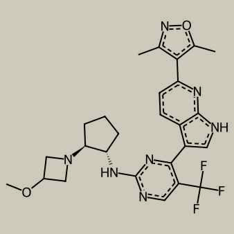 COC1CN([C@H]2CCC[C@@H]2Nc2ncc(C(F)(F)F)c(-c3c[nH]c4nc(-c5c(C)noc5C)ccc34)n2)C1